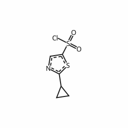 O=S(=O)(Cl)c1cnc(C2CC2)s1